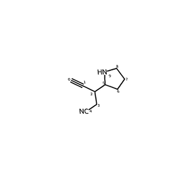 C#CC(CC#N)C1CCCN1